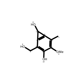 COc1c(C)c2c(c(CO)c1O)C2O